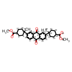 COC(=O)C1CCC(C)(c2ccc3c(c2)C(=O)c2cc(C4(C)CCC(C(=O)OC)CC4)ccc2C3=O)CC1